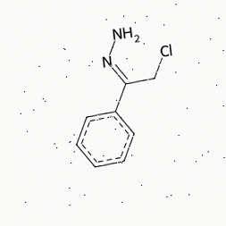 NN=C(CCl)c1ccccc1